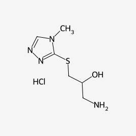 Cl.Cn1cnnc1SCC(O)CN